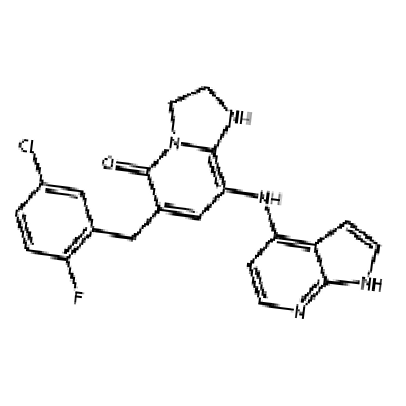 O=c1c(Cc2cc(Cl)ccc2F)cc(Nc2ccnc3[nH]ccc23)c2n1CCN2